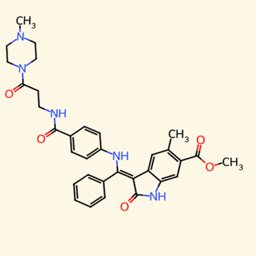 COC(=O)c1cc2c(cc1C)/C(=C(\Nc1ccc(C(=O)NCCC(=O)N3CCN(C)CC3)cc1)c1ccccc1)C(=O)N2